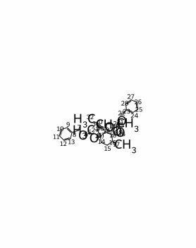 C=C(C)[C@@]1(OCOCc2ccccc2)CCC(C)C(OCOCc2ccccc2)C1(C#CC)OC(C)=O